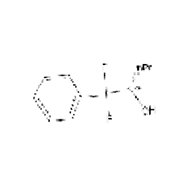 CCC[C@H](O)C(F)(F)c1ccccc1